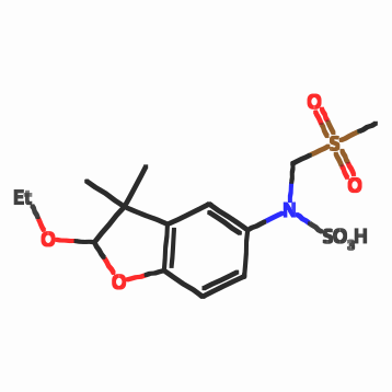 CCOC1Oc2ccc(N(CS(C)(=O)=O)S(=O)(=O)O)cc2C1(C)C